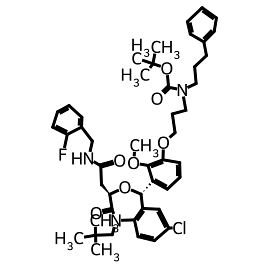 COc1c(OCCCN(CCCc2ccccc2)C(=O)OC(C)(C)C)cccc1[C@H]1O[C@H](CC(=O)NCc2ccccc2F)C(=O)N(CC(C)(C)C)c2ccc(Cl)cc21